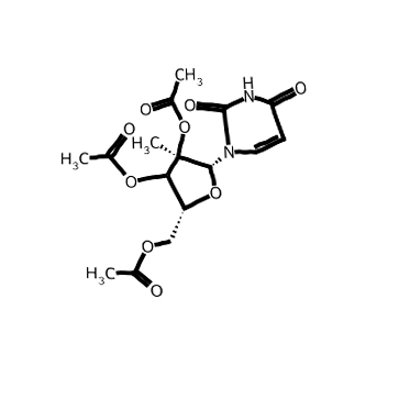 CC(=O)OC[C@H]1O[C@@H](n2ccc(=O)[nH]c2=O)[C@](C)(OC(C)=O)C1OC(C)=O